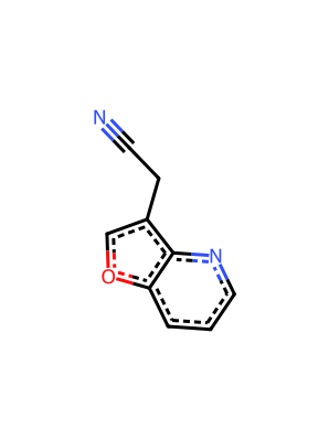 N#CCc1coc2cccnc12